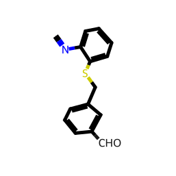 C=Nc1ccccc1SCc1cccc(C=O)c1